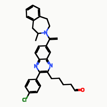 C=C(c1ccc2nc(-c3ccc(Cl)cc3)c(CCCCC=O)nc2c1)N1CCc2ccccc2CC1C